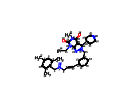 Cc1cc(C)c(CNCC#Cc2cccc(Cn3nc4c(c3-c3ccncc3)c(=O)n(C)c(=O)n4CC(C)C)c2)c(C)c1